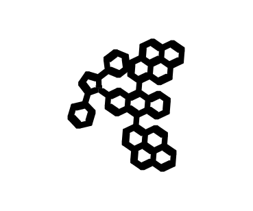 c1ccc(-c2ccc(-c3ccccc3)n2-c2ccc3c(-c4ccc5ccc6cccc7ccc4c5c67)c4ccccc4c(-c4ccc5ccc6cccc7ccc4c5c67)c3c2)cc1